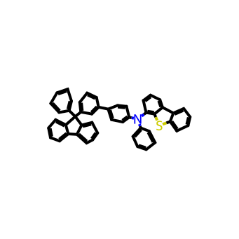 c1ccc(N(c2ccc(-c3cccc(C4(c5ccccc5)c5ccccc5-c5ccccc54)c3)cc2)c2cccc3c2sc2ccccc23)cc1